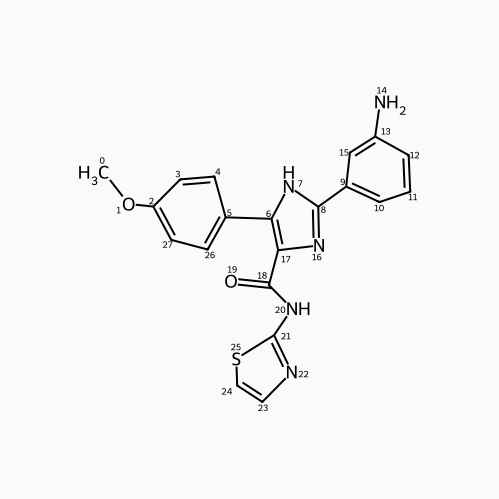 COc1ccc(-c2[nH]c(-c3cccc(N)c3)nc2C(=O)Nc2nccs2)cc1